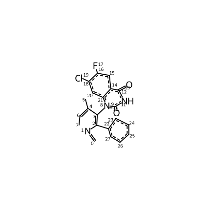 C=N/C(=C(\C(C)=C/C)n1c(=O)[nH]c(=O)c2cc(F)c(Cl)cc21)c1ccccc1